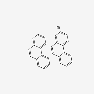 [Ni].c1ccc2c(c1)ccc1ccccc12.c1ccc2c(c1)ccc1ccccc12